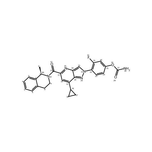 C[C@@H]1c2ccccc2CCN1C(=O)c1cc(C2CC2)c2nn(-c3ccc(OC(N)=O)cc3F)cc2n1